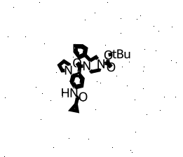 CC(C)(C)OC(=O)N1CCN(C(=O)c2ccc(NC(=O)C3CC3)cc2N2CCCC2)C(c2ccccc2)C1